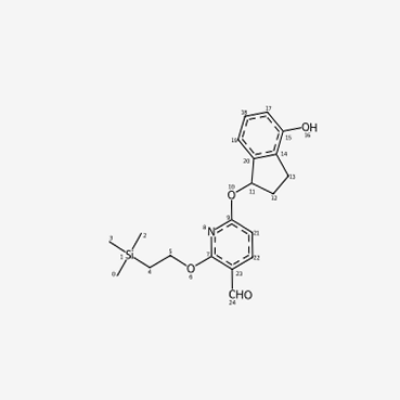 C[Si](C)(C)CCOc1nc(OC2CCc3c(O)cccc32)ccc1C=O